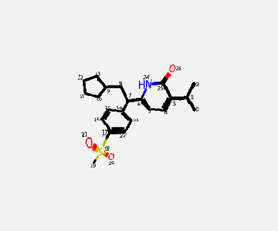 CC(C)c1ccc(C(CC2CCCC2)c2ccc(S(C)(=O)=O)cc2)[nH]c1=O